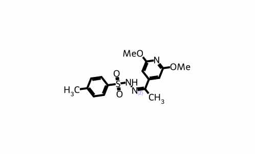 COc1cc(/C(C)=N\NS(=O)(=O)c2ccc(C)cc2)cc(OC)n1